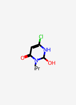 CC(C)N1C(=O)C=C(Cl)NC1O